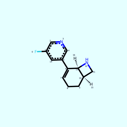 Fc1cncc(C2=CCC[C@@H]3CN[C@H]23)c1